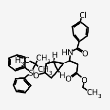 CCOC(=O)CC(NC(=O)c1ccc(Cl)cc1)[C@H]1[C@@H]2CC(O[Si](c3ccccc3)(c3ccccc3)C(C)(C)C)C[C@@H]21